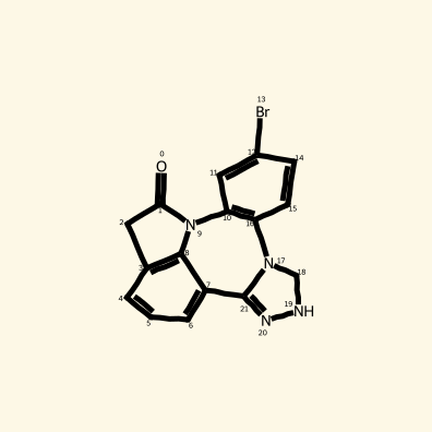 O=C1Cc2cccc3c2N1c1cc(Br)ccc1N1CNN=C31